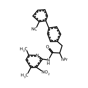 CCCC(Cc1ccc(-c2ccccc2C#N)cc1)C(=O)Nc1nc(C)cc(C)c1[N+](=O)[O-]